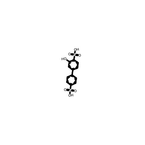 O=S(=O)(O)c1ccc(-c2ccc(S(=O)(=O)O)c(O)c2)cc1